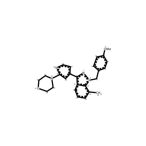 COc1ccc(Cn2nc(-c3ccnc(N4CCOCC4)c3)c3cccc(C)c32)cc1